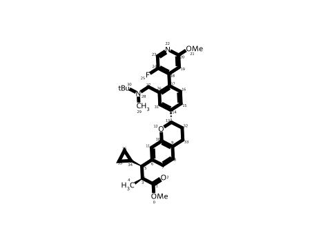 COC(=O)[C@@H](C)[C@H](c1ccc2c(c1)O[C@H](c1ccc(-c3cc(OC)ncc3F)c(CN(C)C(C)(C)C)c1)CC2)C1CC1